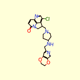 O=c1ccc2ncc(Cl)c3c2n1CC3CN1CCC(NCc2cc3c(cn2)OCCO3)CC1